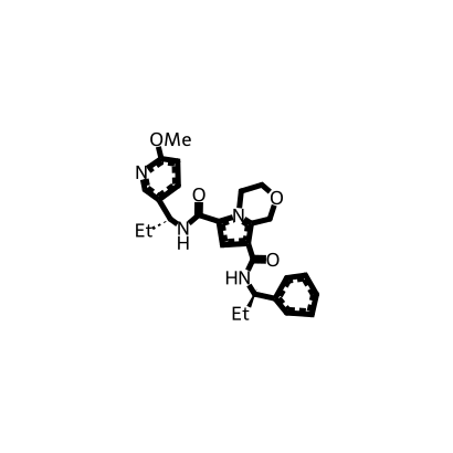 CC[C@@H](NC(=O)c1cc(C(=O)N[C@H](CC)c2ccc(OC)nc2)n2c1COCC2)c1ccccc1